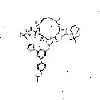 CC(C)Oc1ccc(-c2cc(O[C@@H]3C[C@H]4C(=O)N[C@]5(C(=O)NS(=O)(=O)C6(C)CC6)C[C@H]5/C=C\CC[C@@H](C)C[C@@H](C)[C@H](NC(=O)OC5(C(F)(F)F)CCCOC5)C(=O)N4C3)cc(-c3nccs3)n2)cn1